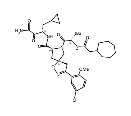 COc1ccc(Cl)cc1C1=NO[C@]2(C1)C[C@@H](C(=O)N[C@@H](CC1CC1)C(=O)C(N)=O)N(C(=O)[C@@H](NC(=O)CC1CCCCCC1)C(C)(C)C)C2